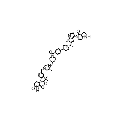 C[C@H]1CN(Cc2ccc3c(c2)C(C)(C)C(=O)N3C2CCC(=O)NC2=O)CCN1CC1CCN(C(=O)c2ccc(C3CCN([C@@H](C)c4cc5c(-n6ccc7c(c6=O)CCN7)ccnc5n4C)CC3)cc2)CC1